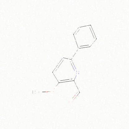 COc1ccc(-c2ccccc2)nc1C=O